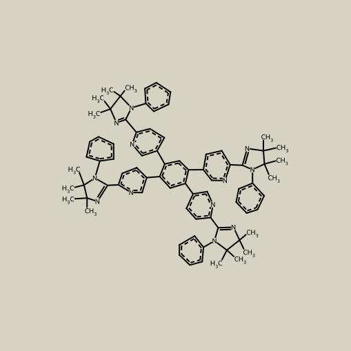 CC1(C)N=C(c2ccc(-c3cc(-c4ccc(C5=NC(C)(C)C(C)(C)N5c5ccccc5)nc4)c(-c4ccc(C5=NC(C)(C)C(C)(C)N5c5ccccc5)nc4)cc3-c3ccc(C4=NC(C)(C)C(C)(C)N4c4ccccc4)nc3)cn2)N(c2ccccc2)C1(C)C